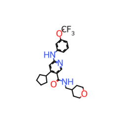 O=C(NCC1CCOCC1)c1cnc(Nc2cccc(OC(F)(F)F)c2)cc1C1CCCC1